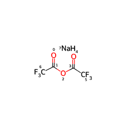 O=C(OC(=O)C(F)(F)F)C(F)(F)F.[NaH]